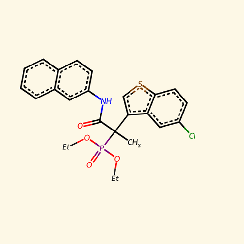 CCOP(=O)(OCC)C(C)(C(=O)Nc1ccc2ccccc2c1)c1csc2ccc(Cl)cc12